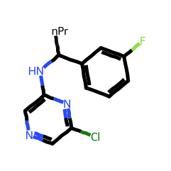 CCCC(Nc1cncc(Cl)n1)c1cccc(F)c1